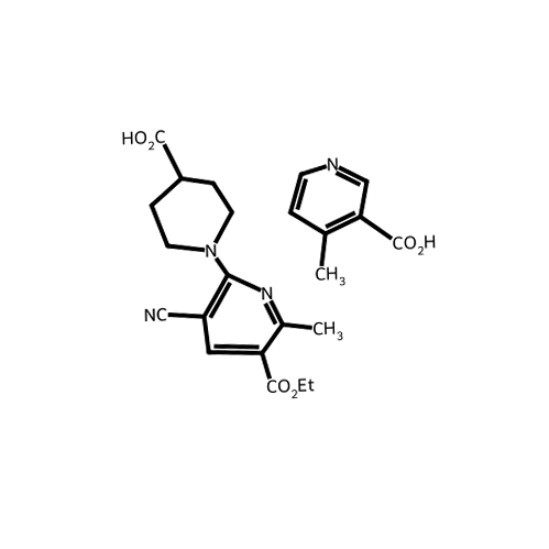 CCOC(=O)c1cc(C#N)c(N2CCC(C(=O)O)CC2)nc1C.Cc1ccncc1C(=O)O